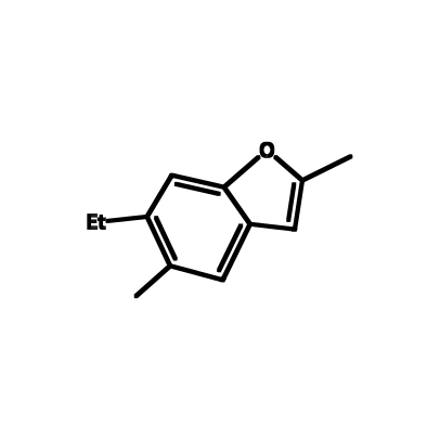 CCc1cc2oc(C)cc2cc1C